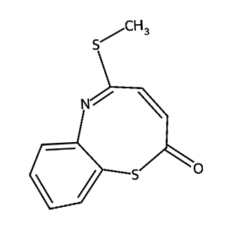 CSC1=Nc2ccccc2SC(=O)C=C1